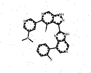 CN(C)c1cncc(-c2ncc3[nH]nc(-c4nc5c(-c6ccccc6F)cncc5[nH]4)c3c2F)c1